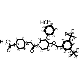 CC(=O)N1CCN(CC(=O)N2CC[C@H](OCc3cc(C(F)(F)F)cc(C(F)(F)F)c3)[C@H](c3ccccc3)C2)CC1.Cl